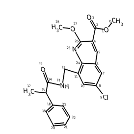 COC(=O)c1cc2cc(Cl)cc(CNC(=O)C(C)c3ccccc3)c2nc1OC